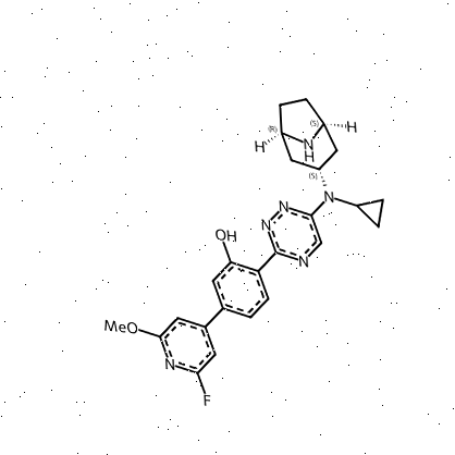 COc1cc(-c2ccc(-c3ncc(N(C4CC4)[C@@H]4C[C@H]5CC[C@@H](C4)N5)nn3)c(O)c2)cc(F)n1